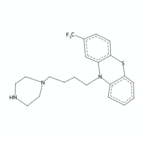 FC(F)(F)c1ccc2c(c1)N(CCCCN1CCNCC1)c1ccccc1S2